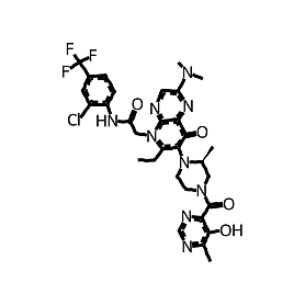 CCc1c(N2CCN(C(=O)c3ncnc(C)c3O)C[C@@H]2C)c(=O)c2nc(N(C)C)cnc2n1CC(=O)Nc1ccc(C(F)(F)F)cc1Cl